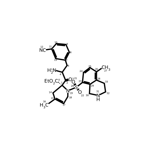 CCOC(=O)[C@@]1(C(=O)C(N)Cc2cccc(C#N)c2)CC(C)=CCN1S(=O)(=O)c1ccc(C)c2c1CNCC2